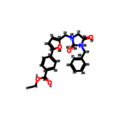 CCOC(=O)c1ccc(-c2ccc(CN3CC(=O)N(Cc4ccccc4)C3=O)o2)cc1